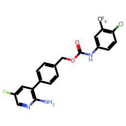 Nc1ncc(F)cc1-c1ccc(COC(=O)Nc2ccc(Cl)c(C(F)(F)F)c2)cc1